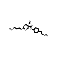 CCCCC[C@H]1OC[C@@](C#N)(C(=O)OC2CCC(CCC)CC2)CO1